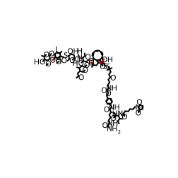 CCC(C)[C@H](NC(=O)CCCCCN1C(=O)C=CC1=O)C(=O)C[C@@H](CCCNC(N)=O)C(=O)Nc1ccc(COC(=O)NCCCC(=O)CCC(C)(C)SSC/C=C2/C3=C(CC(C)=O)C(=O)C[C@@]2(O)C#C/C=C\C#C[C@@H]3OC2OC(C)C(NOC3CC(O)C(SC(=O)c4c(C)c(I)c(OC5OC(C)C(O)C(OC)C5O)c(C)c4OC)C(C)O3)C(O)C2OC2CC(C)C(CC(C)=O)CO2)cc1